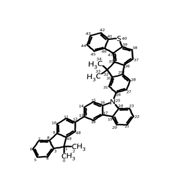 CC1(C)c2ccccc2-c2ccc(-c3ccc4c(c3)c3ccccc3n4-c3ccc4c(c3)C(C)(C)c3c-4ccc4sc5ccccc5c34)cc21